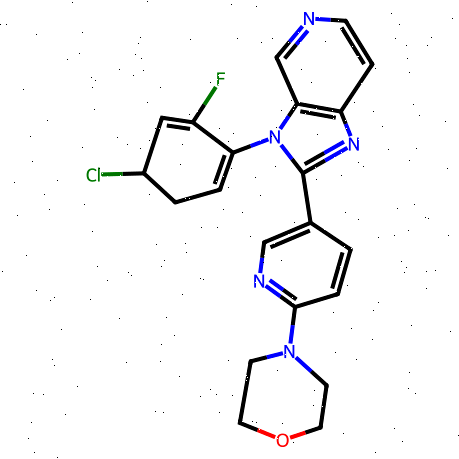 FC1=CC(Cl)CC=C1n1c(-c2ccc(N3CCOCC3)nc2)nc2ccncc21